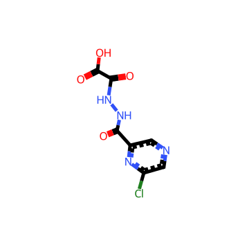 O=C(O)C(=O)NNC(=O)c1cncc(Cl)n1